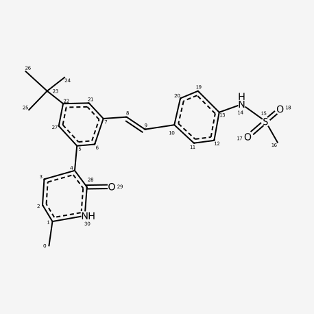 Cc1ccc(-c2cc(C=Cc3ccc(NS(C)(=O)=O)cc3)cc(C(C)(C)C)c2)c(=O)[nH]1